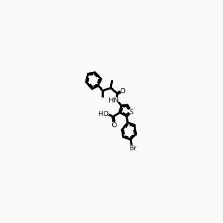 CC(C(=O)Nc1csc(-c2ccc(Br)cc2)c1C(=O)O)C(C)c1ccccc1